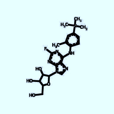 Cc1cc([Si](C)(C)C)ccc1Nc1nc(F)nc2c1ncn2C1OC(CO)C(O)C1O